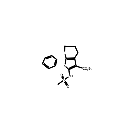 CCOC(=O)c1c(NS(C)(=O)=O)sc2c1CCCC2.c1ccccc1